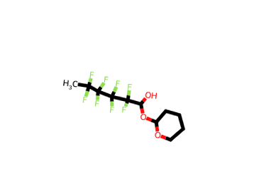 CC(F)(F)C(F)(F)C(F)(F)C(F)(F)C(O)OC1CCCCO1